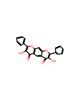 O=c1c(O)c(-c2ccccc2)oc2cc3oc(-c4ccccc4)c(O)c(=O)c3cc12